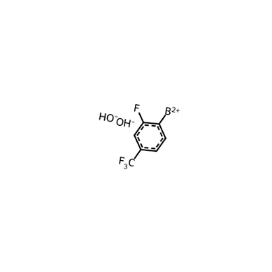 [B+2]c1ccc(C(F)(F)F)cc1F.[OH-].[OH-]